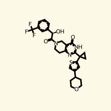 O=C([C@H](O)c1cccc(C(F)(F)F)c1)N1CCc2nc(C3(c4cc(C5CCOCC5)cs4)CC3)[nH]c(=O)c2C1